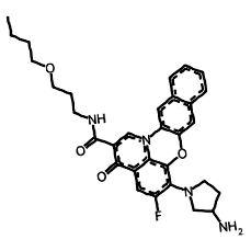 CCCCOCCCNC(=O)c1cn2c3c(c(N4CCC(N)C4)c(F)cc3c1=O)Oc1cc3ccccc3cc1-2